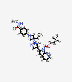 CC(C)NC(=O)c1ccc(N2CC(CC#N)(n3cc(-c4cc5cccnc5n4COCC[Si](C)(C)C)cn3)C2)cc1